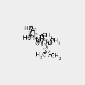 C=CCC(C)CCc1cc(C(=O)NCc2ccc(O)cc2O)c(OC)cc1OC